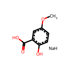 COc1ccc(O)c(C(=O)O)c1.[NaH]